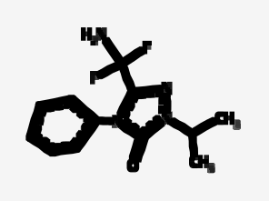 CC(C)n1nc(C(N)(F)F)n(-c2ccccc2)c1=O